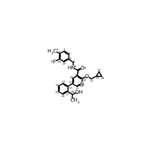 Cc1ccc(CNC(=O)c2cc(-c3ccccc3C(C)O)cnc2OCC2CC2)cc1F